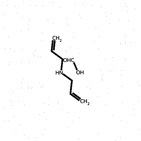 C=CCNCC=C.O=CO